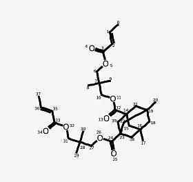 CC=CC(=O)OCC(C)(C)COC(=O)C12CC3(C)CC(C)(C1)CC(C(=O)OCC(C)(C)COC(=O)C=CC)(C3)C2